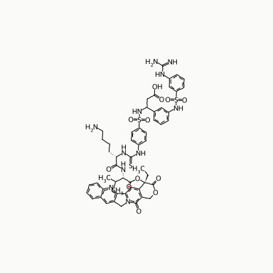 CC[C@@]1(OC(=O)[C@@H](NC(=O)[C@H](CCCCN)NC(=S)Nc2ccc(S(=O)(=O)NC(CC(=O)O)c3cccc(NS(=O)(=O)c4cccc(NC(=N)N)c4)c3)cc2)C(C)C)C(=O)OCc2c1cc1n(c2=O)Cc2cc3ccccc3nc2-1